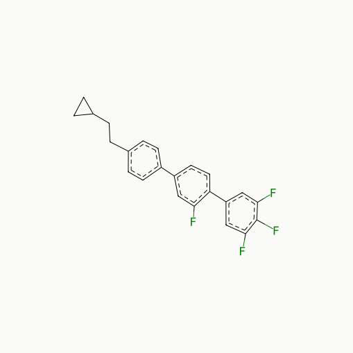 Fc1cc(-c2ccc(CCC3CC3)cc2)ccc1-c1cc(F)c(F)c(F)c1